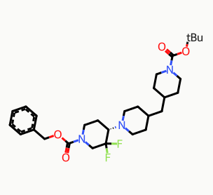 CC(C)(C)OC(=O)N1CCC(CC2CCN([C@H]3CCN(C(=O)OCc4ccccc4)CC3(F)F)CC2)CC1